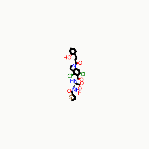 O=C(NC[C@H](NC(=O)c1c(Cl)cc2c(c1Cl)CCN2C(=O)/C=C/c1ccccc1O)C(=O)O)c1cccs1